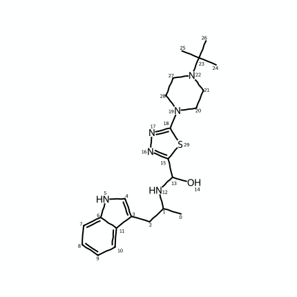 CC(Cc1c[nH]c2ccccc12)NC(O)c1nnc(N2CCN(C(C)(C)C)CC2)s1